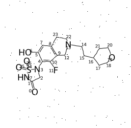 O=C1CN(c2c(O)cc3c(c2F)CN(CCC2CCOCC2)CC3)S(=O)(=O)N1